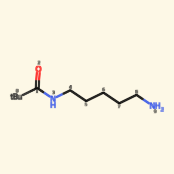 CC(C)(C)C(=O)NCCCCCN